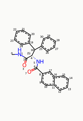 CNC(=O)[C@@H](NC(=O)c1ccc2ccccc2c1)C(c1ccccc1)c1ccccc1